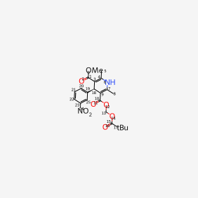 COC(=O)C1=C(C)NC(C)=C(C(=O)OCOC(=O)C(C)(C)C)[C@H]1c1cccc([N+](=O)[O-])c1